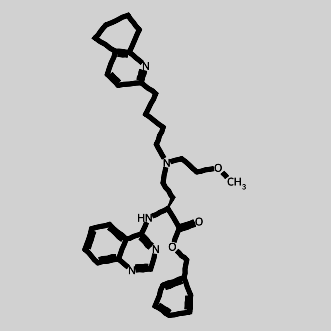 COCCN(CCCCc1ccc2c(n1)CCCC2)CC[C@H](Nc1ncnc2ccccc12)C(=O)OCc1ccccc1